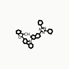 CC1c2ccccc2OC1c1ccc2c3ccccc3n(-c3ccc4cc(-c5nc(-c6ccccc6)nc(-c6ccccc6)n5)ccc4c3)c2c1